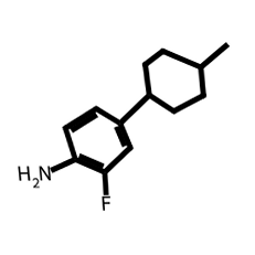 CC1CCC(c2ccc(N)c(F)c2)CC1